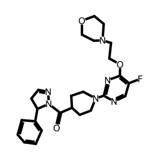 O=C(C1CCN(c2ncc(F)c(OCCN3CCOCC3)n2)CC1)N1N=CCC1c1ccccc1